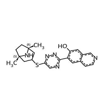 C[C@]12CC[C@](C)(CC(Sc3cnc(-c4cc5ccncc5cc4O)nn3)C1)N2